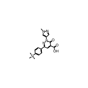 Cn1cc(-n2nc(-c3ccc([Si](C)(C)C)cc3)cc(C(=O)O)c2=O)cn1